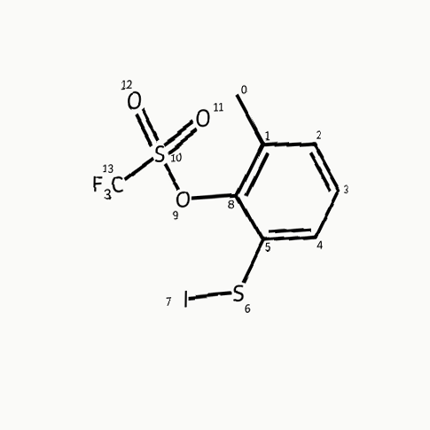 Cc1cccc(SI)c1OS(=O)(=O)C(F)(F)F